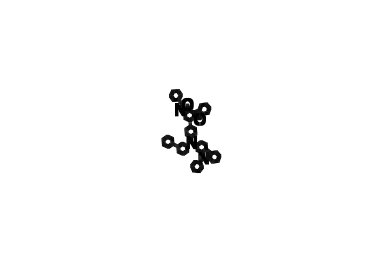 c1ccc(-c2cccc(N(c3ccc(-c4cc5nc(-c6ccccc6)oc5c5c4oc4ccccc45)cc3)c3ccc4c5ccccc5n(-c5ccccc5)c4c3)c2)cc1